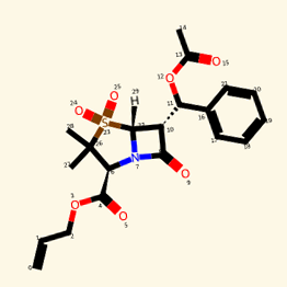 C=CCOC(=O)[C@@H]1N2C(=O)[C@@H](C(OC(C)=O)c3ccccc3)[C@H]2S(=O)(=O)C1(C)C